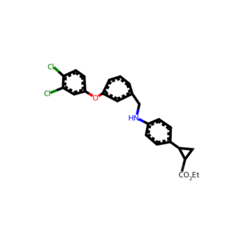 CCOC(=O)C1CC1c1ccc(NCc2cccc(Oc3ccc(Cl)c(Cl)c3)c2)cc1